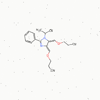 CC(C#N)n1c(-c2ccccc2)nc(=COCCC#N)c1=COCCC#N